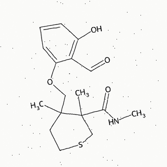 CNC(=O)C1(C)CSCCC1(C)COc1cccc(O)c1C=O